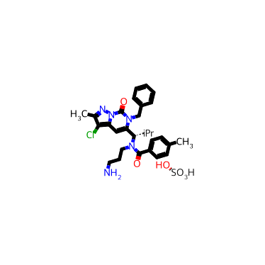 Cc1ccc(C(=O)N(CCCN)[C@H](c2cc3c(Cl)c(C)nn3c(=O)n2Cc2ccccc2)C(C)C)cc1.O=S(=O)(O)O